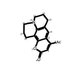 CC(=O)c1cc(=O)oc2c3c4c(cc12)CCCN4CCC3